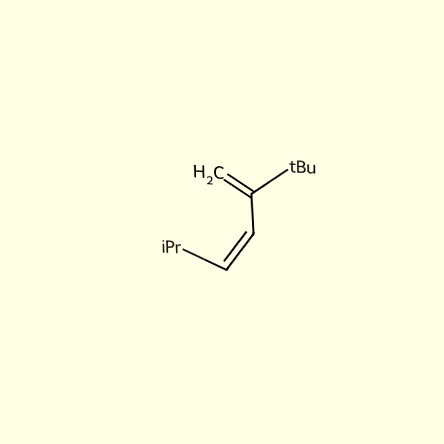 C=C(/C=C\C(C)C)C(C)(C)C